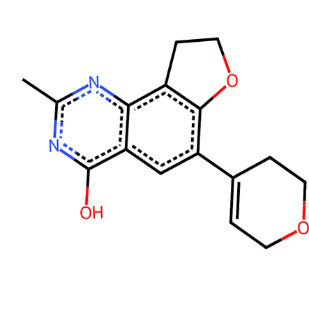 Cc1nc(O)c2cc(C3=CCOCC3)c3c(c2n1)CCO3